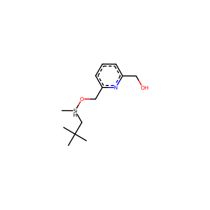 C[SiH](CC(C)(C)C)OCc1cccc(CO)n1